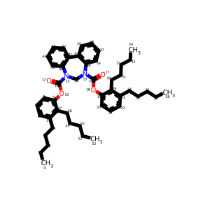 CCCCCc1cccc(OC(=O)N2CN(C(=O)Oc3cccc(CCCCC)c3CCCCC)c3ccccc3-c3ccccc32)c1CCCCC